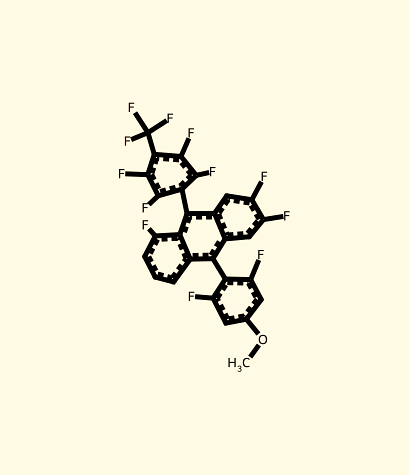 COc1cc(F)c(-c2c3cc(F)c(F)cc3c(-c3c(F)c(F)c(C(F)(F)F)c(F)c3F)c3c(F)cccc23)c(F)c1